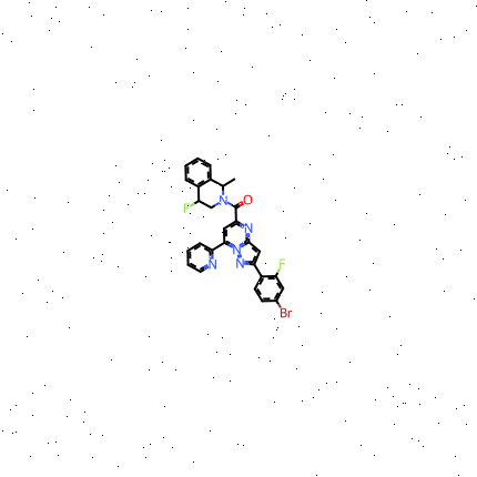 CC1c2ccccc2C(F)CN1C(=O)c1cc(-c2ccccn2)n2nc(-c3ccc(Br)cc3F)cc2n1